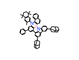 Cc1cc2c(cc1N1c3cc(-c4ccccc4)cc4c3B(c3ccc5ccccc5c31)n1c3ccc(C56CC7CC(CC(C7)C5)C6)cc3c3cc(C56CC7CC(CC(C7)C5)C6)cc-4c31)C(C)(C)CCC2(C)C